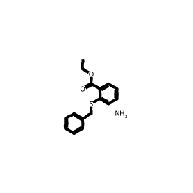 CCOC(=O)c1ccccc1SCc1ccccc1.N